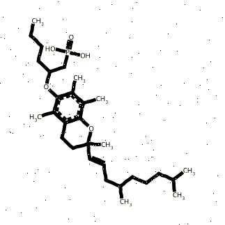 CCCCC(CP(=O)(O)O)Oc1c(C)c(C)c2c(c1C)CCC(C)(/C=C/CC(C)CCCC(C)C)O2